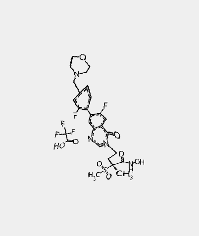 C[C@@](CCn1cnc2cc(-c3ccc(CN4CCOCC4)cc3F)c(F)cc2c1=O)(C(=O)NO)S(C)(=O)=O.O=C(O)C(F)(F)F